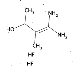 CC(=C(N)N)C(C)O.F.F